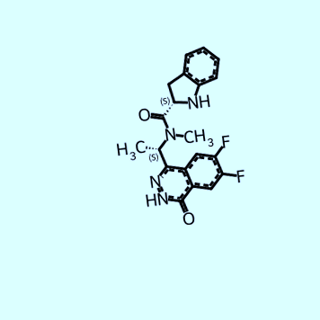 C[C@@H](c1n[nH]c(=O)c2cc(F)c(F)cc12)N(C)C(=O)[C@@H]1Cc2ccccc2N1